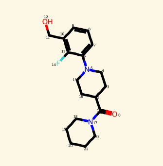 O=C(C1CCN(c2cccc(CO)c2F)CC1)N1CCCCC1